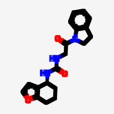 O=C(NCC(=O)N1CCc2ccccc21)N[C@H]1CCCc2occc21